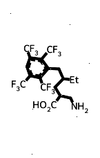 CCC(Cc1c(C(F)(F)F)c(C(F)(F)F)cc(C(F)(F)F)c1C(F)(F)F)CC(CN)C(=O)O